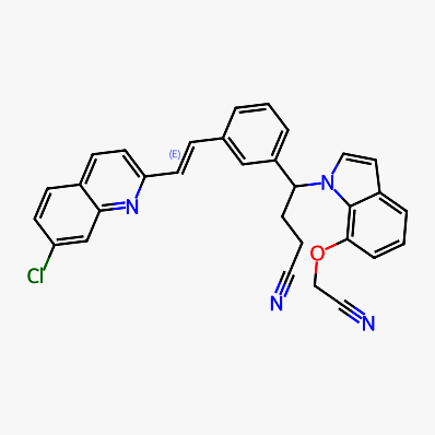 N#CCCC(c1cccc(/C=C/c2ccc3ccc(Cl)cc3n2)c1)n1ccc2cccc(OCC#N)c21